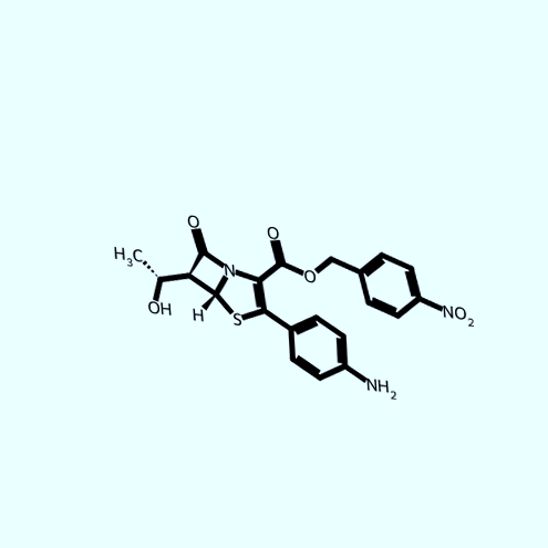 C[C@@H](O)[C@H]1C(=O)N2C(C(=O)OCc3ccc([N+](=O)[O-])cc3)=C(c3ccc(N)cc3)S[C@H]12